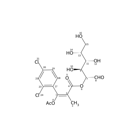 CC(=O)OC(=C(C)C(=O)O[C@@H](C=O)[C@@H](O)[C@@H](O)[C@H](O)CO)c1ccc(Cl)cc1Cl